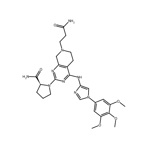 COc1cc(-n2cnc(Nc3nc(N4CCC[C@H]4C(N)=O)nc4c3CCN(CCC(N)=O)C4)c2)cc(OC)c1OC